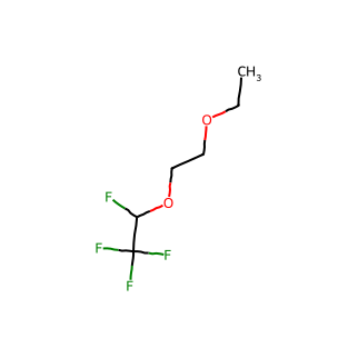 CCOCCOC(F)C(F)(F)F